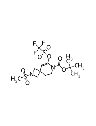 CC(C)(C)OC(=O)N1CCC2(C=C1OS(=O)(=O)C(F)(F)F)CN(S(C)(=O)=O)C2